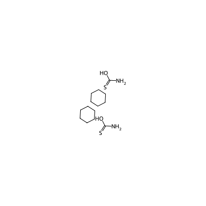 C1CCCCC1.C1CCCCC1.NC(O)=S.NC(O)=S